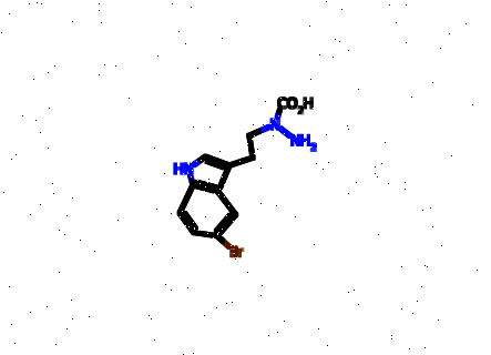 NN(CCc1c[nH]c2ccc(Br)cc12)C(=O)O